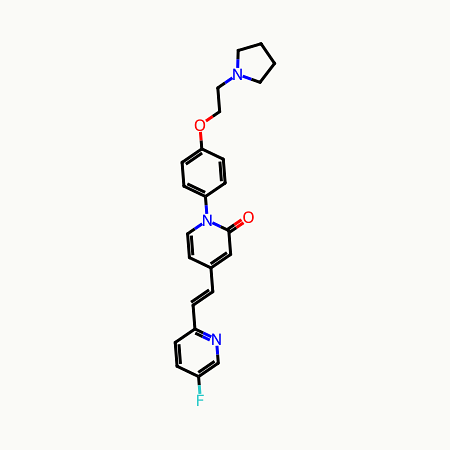 O=c1cc(/C=C/c2ccc(F)cn2)ccn1-c1ccc(OCCN2CCCC2)cc1